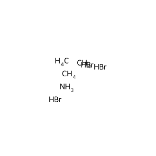 Br.Br.Br.C.C.C.N